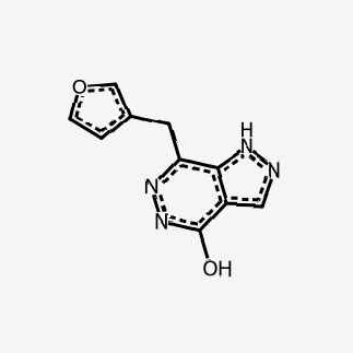 Oc1nnc(Cc2ccoc2)c2[nH]ncc12